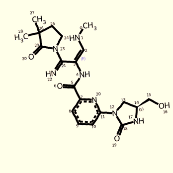 CN/C=C(/NC(=O)c1cccc(N2C[C@@H](CO)NC2=O)n1)C(=N)N1CCC(C)(C)C1=O